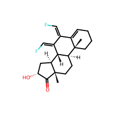 C[C@]12CCCC=C1C(=C/F)/C(=C/F)[C@@H]1[C@@H]2CC[C@]2(C)C(=O)[C@H](O)C[C@@H]12